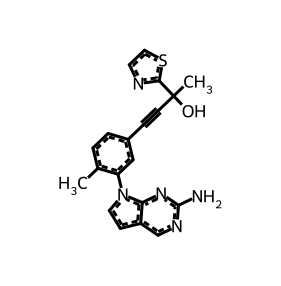 Cc1ccc(C#CC(C)(O)c2nccs2)cc1-n1ccc2cnc(N)nc21